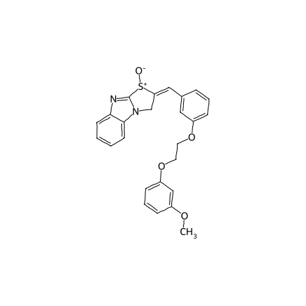 COc1cccc(OCCOc2cccc(C=C3Cn4c(nc5ccccc54)[S+]3[O-])c2)c1